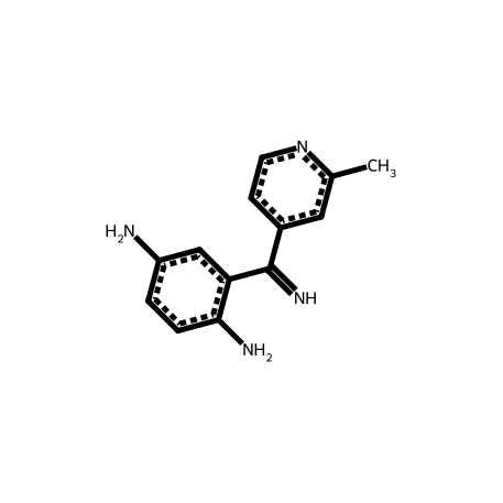 Cc1cc(C(=N)c2cc(N)ccc2N)ccn1